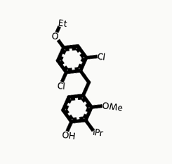 CCOc1cc(Cl)c(Cc2ccc(O)c(C(C)C)c2OC)c(Cl)c1